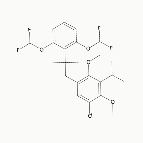 COc1c(Cl)cc(CC(C)(C)c2c(OC(F)F)cccc2OC(F)F)c(OC)c1C(C)C